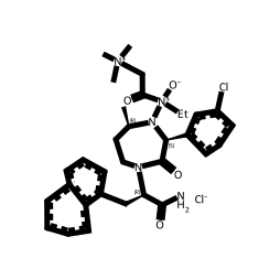 CC[N+]([O-])(C(=O)C[N+](C)(C)C)N1[C@H](C)CCN([C@H](Cc2cccc3ccccc23)C(N)=O)C(=O)[C@@H]1c1cccc(Cl)c1.[Cl-]